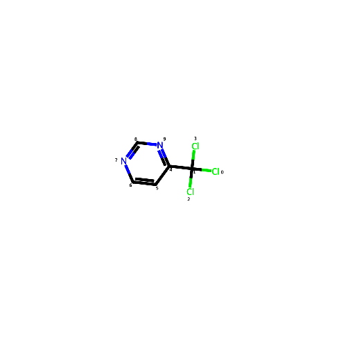 ClC(Cl)(Cl)c1ccncn1